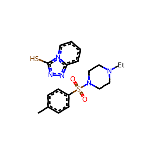 CCN1CCN(S(=O)(=O)c2ccc(C)cc2)CC1.Sc1nnc2ccccn12